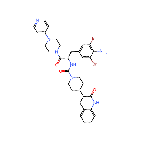 Nc1c(Br)cc(C[C@@H](NC(=O)N2CCC(C3Cc4ccccc4NC3=O)CC2)C(=O)N2CCN(c3ccncc3)CC2)cc1Br